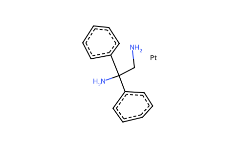 NCC(N)(c1ccccc1)c1ccccc1.[Pt]